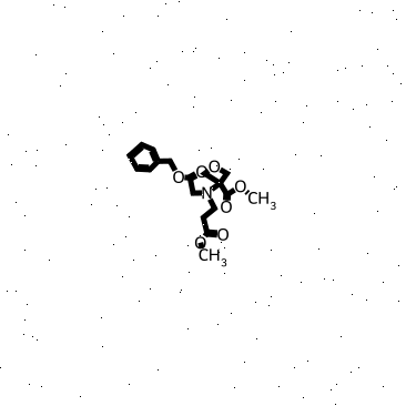 COC(=O)CCN(CC(=O)OCc1ccccc1)C1(C(=O)OC)COC1